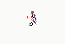 CCOc1ccc(/C=C2/SC(=S)N(c3ccc(F)cc3)C2=O)cc1O